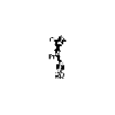 Cc1ncc2c(Cl)cc(C3CN([C@H](CCCN4CCN(C(=O)OC(C)(C)C)CC4)C(C)C)C3)cn12